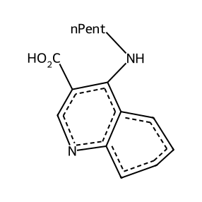 CCCCCNc1c(C(=O)O)cnc2ccccc12